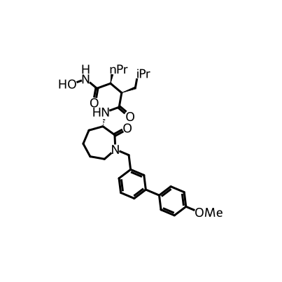 CCC[C@H](C(=O)NO)[C@@H](CC(C)C)C(=O)N[C@H]1CCCCN(Cc2cccc(-c3ccc(OC)cc3)c2)C1=O